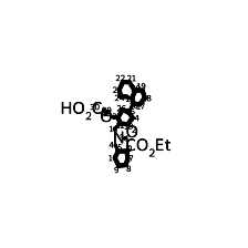 CCOC(=O)C(=O)N(Cc1ccccc1)Cc1ccc(-c2cccc3ccccc23)cc1OCC(=O)O